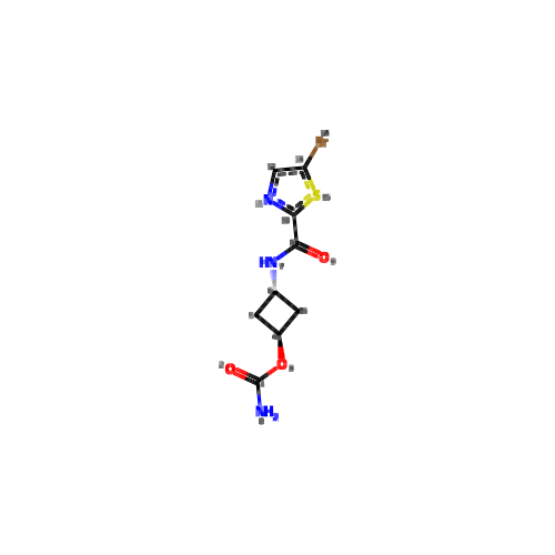 NC(=O)O[C@H]1C[C@H](NC(=O)c2ncc(Br)s2)C1